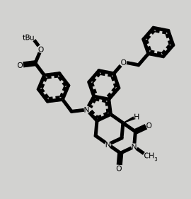 CN1C(=O)[C@@H]2CN(Cc3c2c2cc(OCc4ccccc4)ccc2n3Cc2ccc(C(=O)OC(C)(C)C)cc2)C1=O